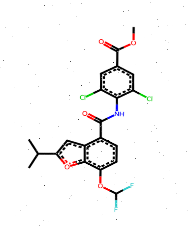 COC(=O)c1cc(Cl)c(NC(=O)c2ccc(OC(F)F)c3oc(C(C)C)cc23)c(Cl)c1